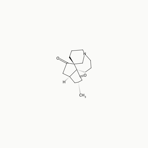 C[C@H]1CC(=O)[C@]23CCCN4CCC[C@]2(C4)C(=O)C[C@@H]3C1